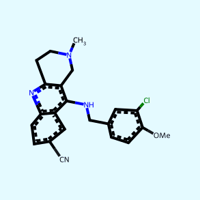 COc1ccc(CNc2c3c(nc4ccc(C#N)cc24)CCN(C)C3)cc1Cl